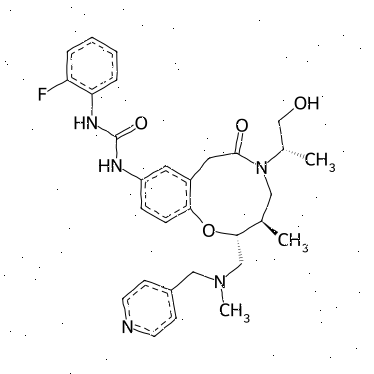 C[C@@H]1CN([C@@H](C)CO)C(=O)Cc2cc(NC(=O)Nc3ccccc3F)ccc2O[C@H]1CN(C)Cc1ccncc1